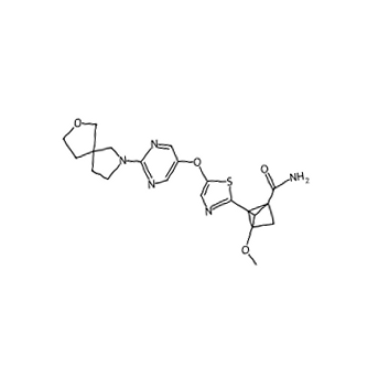 COC12CC(C(N)=O)(C1)C2c1ncc(Oc2cnc(N3CCC4(CCOC4)C3)nc2)s1